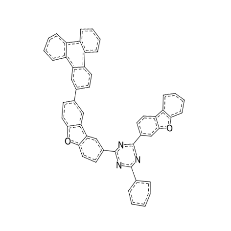 c1ccc(-c2nc(-c3ccc4c(c3)oc3ccccc34)nc(-c3ccc4oc5ccc(-c6ccc7c8ccccc8c8ccccc8c7c6)cc5c4c3)n2)cc1